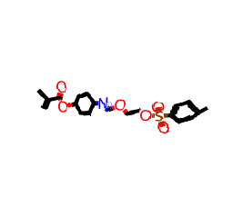 C=C(C)C(=O)OC1CCC(/N=C/OCCOS(=O)(=O)c2ccc(C)cc2)CC1